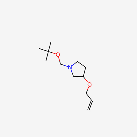 C=CCOC1CCN(COC(C)(C)C)C1